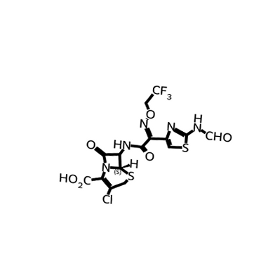 O=CNc1nc(C(=NOCC(F)(F)F)C(=O)NC2C(=O)N3C(C(=O)O)=C(Cl)CS[C@@H]23)cs1